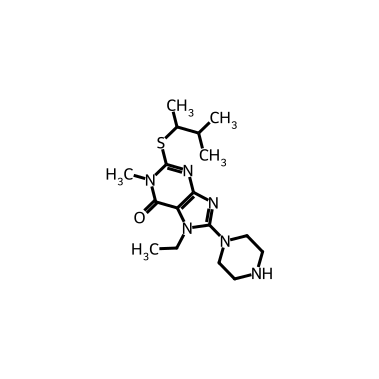 CCn1c(N2CCNCC2)nc2nc(SC(C)C(C)C)n(C)c(=O)c21